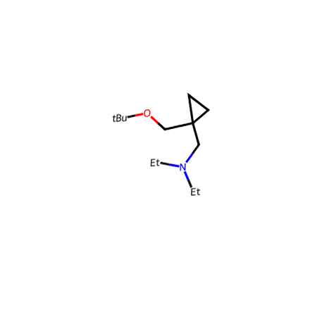 CCN(CC)CC1(COC(C)(C)C)CC1